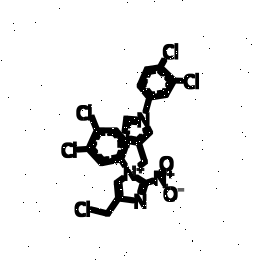 O=[N+]([O-])C1=NC(CCl)=C[N+]1(Cc1cn(-c2ccc(Cl)c(Cl)c2)cn1)c1ccc(Cl)c(Cl)c1